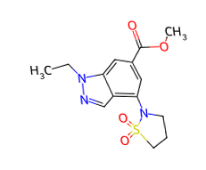 CCn1ncc2c(N3CCCS3(=O)=O)cc(C(=O)OC)cc21